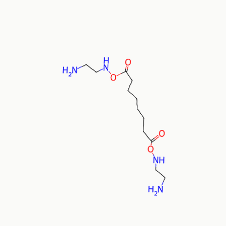 NCCNOC(=O)CCCCCCC(=O)ONCCN